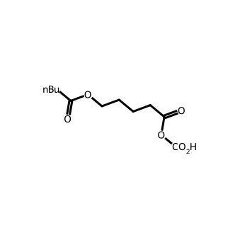 CCCCC(=O)OCCCCC(=O)OC(=O)O